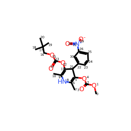 COC(=O)OC1=C(C)NC(C)=C(OC(=O)OCC(C)(C)C)C1c1cccc([N+](=O)[O-])c1